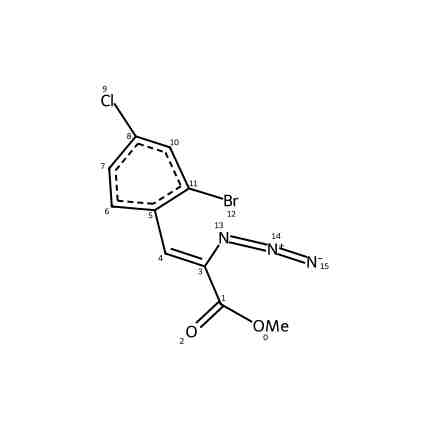 COC(=O)/C(=C/c1ccc(Cl)cc1Br)N=[N+]=[N-]